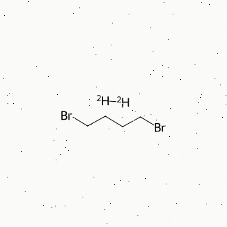 BrCCCCBr.[2H][2H]